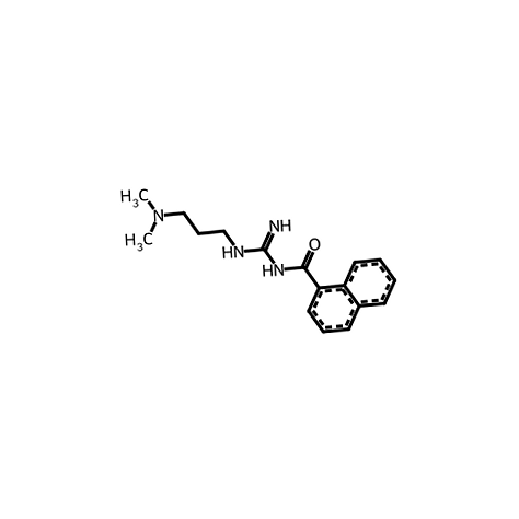 CN(C)CCCNC(=N)NC(=O)c1cccc2ccccc12